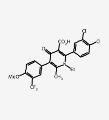 CCn1c(C)c(-c2ccc(OC)c(C(F)(F)F)c2)c(=O)c(C(=O)O)c1-c1ccc(Cl)c(Cl)c1